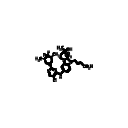 C[C@@H]1CN(c2ncc(Cl)c(Nc3ccc4c(c3)n(CCC(C)(C)O)c(=O)n4CC=CC(=O)O)n2)C[C@H](C)C1(F)F